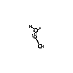 N#Cc1cc(F)cc(-n2cc(C#Cc3cccnc3)cn2)c1